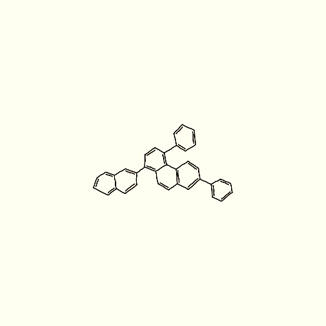 c1ccc(-c2ccc3c(ccc4c(-c5ccc6ccccc6c5)ccc(-c5ccccc5)c43)c2)cc1